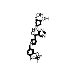 O=C(c1ccn(Cc2ccc(F)c(OC(F)(F)F)c2)c1)c1cncnc1N[C@@H]1C[C@H](CO)[C@@H](O)C1